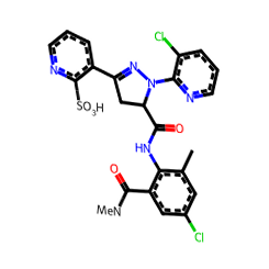 CNC(=O)c1cc(Cl)cc(C)c1NC(=O)C1CC(c2cccnc2S(=O)(=O)O)=NN1c1ncccc1Cl